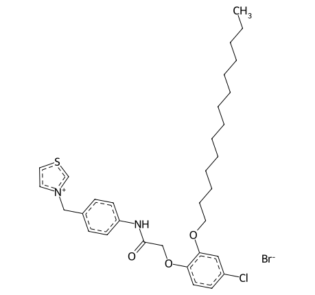 CCCCCCCCCCCCCCOc1cc(Cl)ccc1OCC(=O)Nc1ccc(C[n+]2ccsc2)cc1.[Br-]